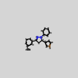 CC(C)(C)c1cccc(C2=NN(c3ccccc3)C(c3ccsc3)C2)c1